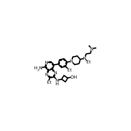 CCc1cc(-c2cnc(N)c3nc(CC)c(NC4CC(O)C4)nc23)ccc1N1CCC(N(CC)CCN(C)C)CC1